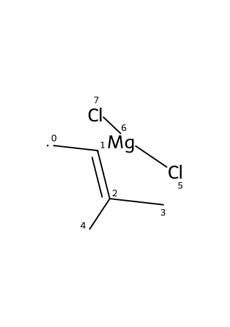 [CH2]C=C(C)C.[Cl][Mg][Cl]